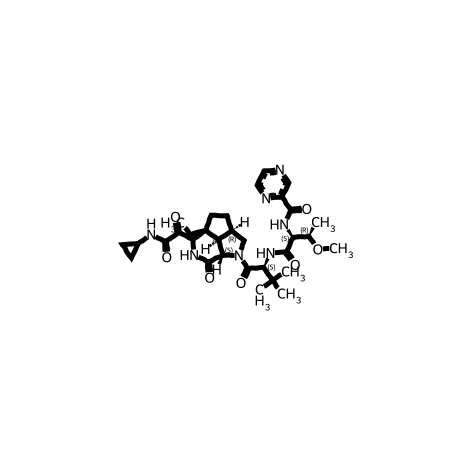 CCC12CC[C@H]3CN(C(=O)[C@@H](NC(=O)[C@@H](NC(=O)c4cnccn4)[C@@H](C)OC)C(C)(C)C)[C@H](C(=O)NC1C(=O)C(=O)NC1CC1)[C@H]32